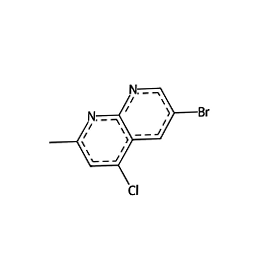 Cc1cc(Cl)c2cc(Br)cnc2n1